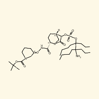 CCCCC(N)(CCC)C(CCC)(CCCC)OS(=O)(=O)ON1C(=O)N2C[C@@H]1CC[C@H]2C(=O)NO[C@@H]1CCCN(C(=O)OC(C)(C)C)C1